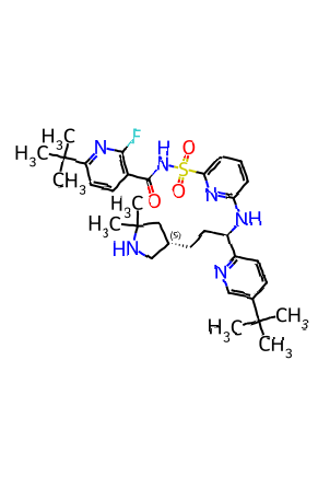 CC1(C)C[C@H](CCC(Nc2cccc(S(=O)(=O)NC(=O)c3ccc(C(C)(C)C)nc3F)n2)c2ccc(C(C)(C)C)cn2)CN1